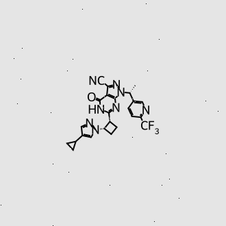 C[C@H](c1ccc(C(F)(F)F)nc1)n1nc(C#N)c2c(=O)[nH]c([C@H]3CC[C@@H]3n3cc(C4CC4)cn3)nc21